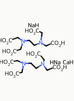 O=C(O)CN(CCN(CC(=O)O)CC(=O)O)CC(=O)O.O=C(O)CN(CCN(CC(=O)O)CC(=O)O)CC(=O)O.[CaH2].[NaH].[NaH]